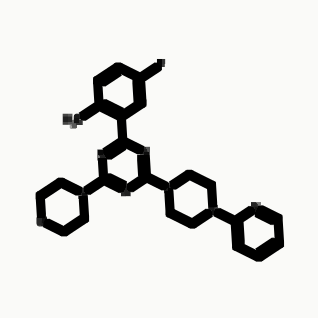 Cc1ccc(F)cc1-c1nc(N2CCOCC2)nc(N2CCN(c3ccccn3)CC2)n1